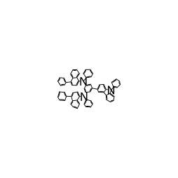 c1ccc(-c2ccc(N(c3ccccc3)c3cc(-c4ccc5c(c4)c4ccccc4n5-c4ccccc4)cc(N(c4ccccc4)c4ccc(-c5ccccc5)c5ccccc45)c3)c3ccccc23)cc1